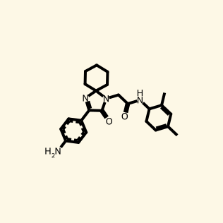 CC1=CCC(NC(=O)CN2C(=O)C(c3ccc(N)cc3)=NC23CCCCC3)C(C)=C1